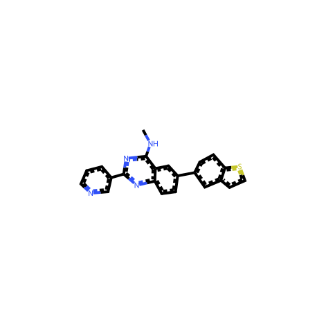 CNc1nc(-c2cccnc2)nc2ccc(-c3ccc4sccc4c3)cc12